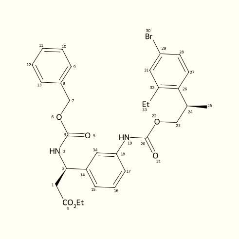 CCOC(=O)C[C@@H](NC(=O)OCc1ccccc1)c1cccc(NC(=O)OC[C@H](C)c2ccc(Br)cc2CC)c1